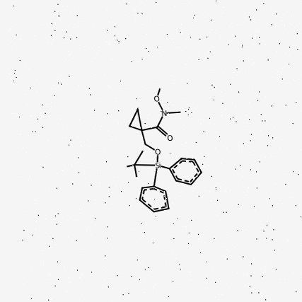 CON(C)C(=O)C1(CO[Si](c2ccccc2)(c2ccccc2)C(C)(C)C)CC1